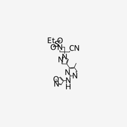 CCS(=O)(=O)N1CC(CC#N)(n2cc(-c3nc(Nc4cnoc4)ncc3C)cn2)C1